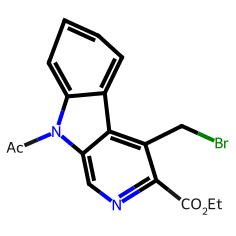 CCOC(=O)c1ncc2c(c1CBr)c1ccccc1n2C(C)=O